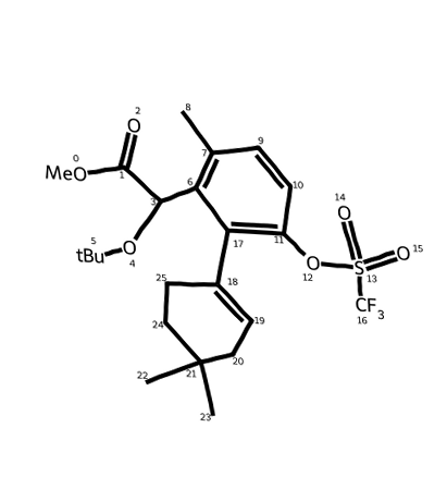 COC(=O)C(OC(C)(C)C)c1c(C)ccc(OS(=O)(=O)C(F)(F)F)c1C1=CCC(C)(C)CC1